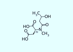 CC(O)CC(=O)N(C)[C@@H](CC(=O)O)C(=O)O